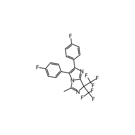 CC1=NC(C(F)(F)F)(C(F)(F)F)c2nc(-c3ccc(F)cc3)c(-c3ccc(F)cc3)n21